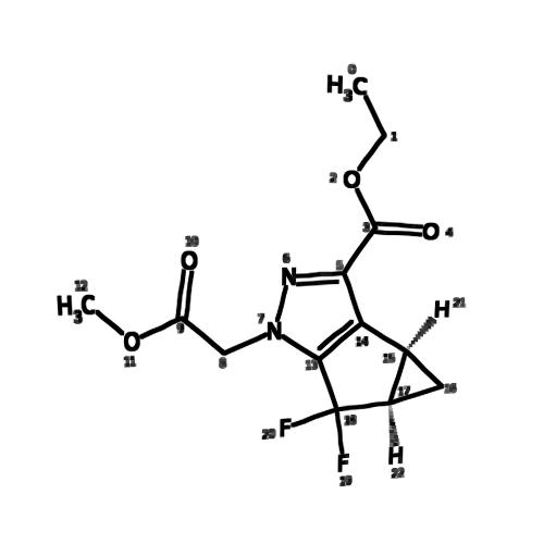 CCOC(=O)c1nn(CC(=O)OC)c2c1[C@H]1C[C@H]1C2(F)F